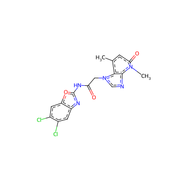 Cc1cc(=O)n(C)c2ncn(CC(=O)Nc3nc4cc(Cl)c(Cl)cc4o3)c12